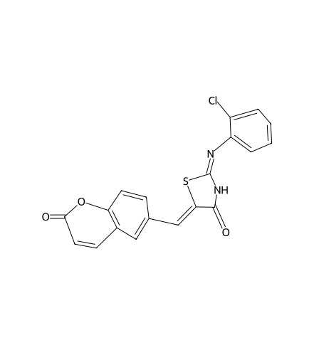 O=C1N/C(=N\c2ccccc2Cl)S/C1=C\c1ccc2oc(=O)ccc2c1